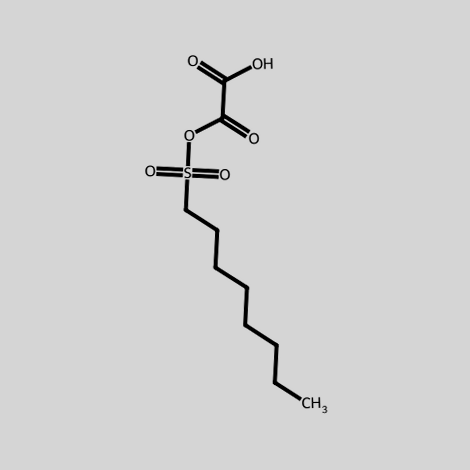 CCCCCCCCS(=O)(=O)OC(=O)C(=O)O